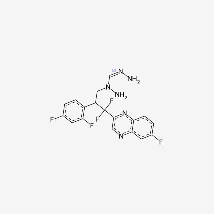 N/N=C\N(N)CC(c1ccc(F)cc1F)C(F)(F)c1cnc2cc(F)ccc2n1